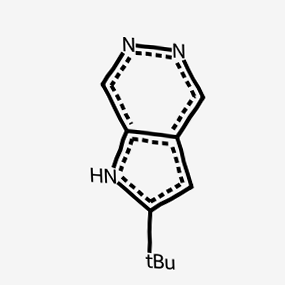 CC(C)(C)c1cc2cnncc2[nH]1